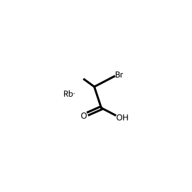 CC(Br)C(=O)O.[Rb]